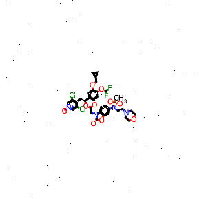 CS(=O)(=O)N(CCN1CCOCC1)c1ccc2c(c1)oc(=O)n2CC(=O)O[C@@H](Cc1c(Cl)c[n+]([O-])cc1Cl)c1ccc(OC(F)F)c(OCC2CC2)c1